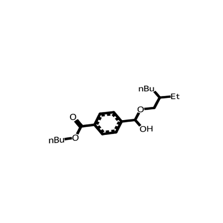 CCCCOC(=O)c1ccc(C(O)OCC(CC)CCCC)cc1